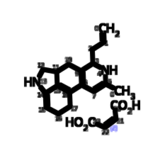 C=CCC1NC(C)=CC2=C1CC1CNC3=CCCC2=C31.O=C(O)/C=C\C(=O)O